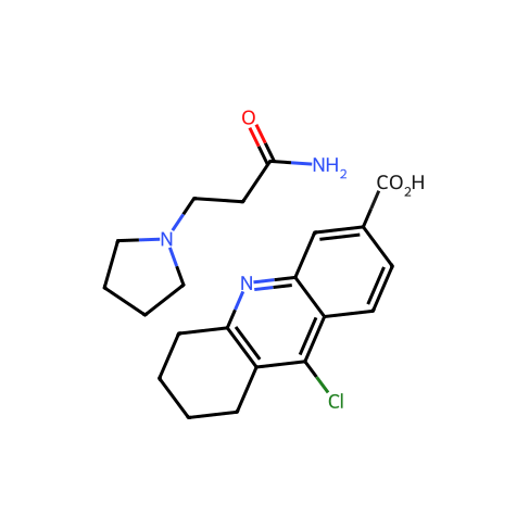 NC(=O)CCN1CCCC1.O=C(O)c1ccc2c(Cl)c3c(nc2c1)CCCC3